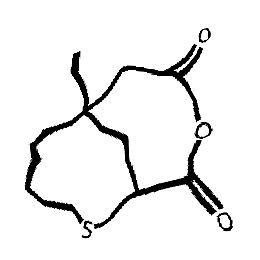 CC12CCSC(C1)C(=O)OC(=O)C2